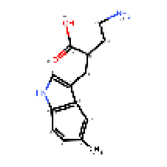 Cc1ccc2[nH]cc(CC(CCN)C(=O)O)c2c1